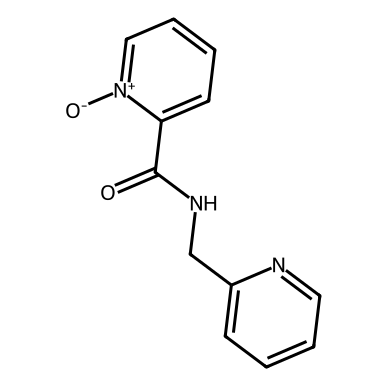 O=C(NCc1ccccn1)c1cccc[n+]1[O-]